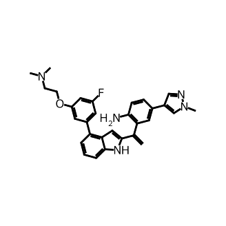 C=C(c1cc2c(-c3cc(F)cc(OCCN(C)C)c3)cccc2[nH]1)c1cc(-c2cnn(C)c2)ccc1N